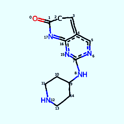 O=C1CC=c2cnc(NC3CCNCC3)nc2=N1